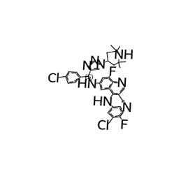 CC1(C)CC(n2cc([C@@H](Nc3cc(F)c4ncc(C#N)c(Nc5ccc(F)c(Cl)c5)c4c3)c3ccc(Cl)cc3)nn2)CC(C)(C)N1